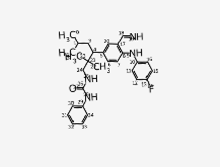 CC(C)CC(c1ccc(Nc2ccc(F)cc2)c(C=N)c1)C(C)(C)CNC(=O)Nc1ccccc1